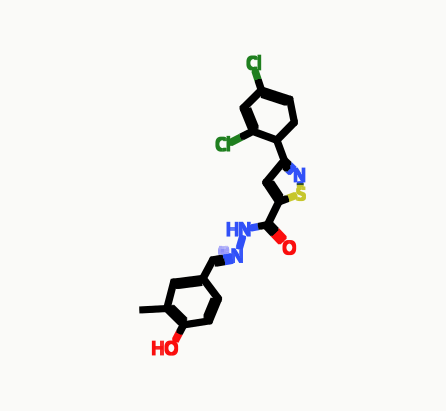 Cc1cc(/C=N/NC(=O)c2cc(C3CC=C(Cl)C=C3Cl)ns2)ccc1O